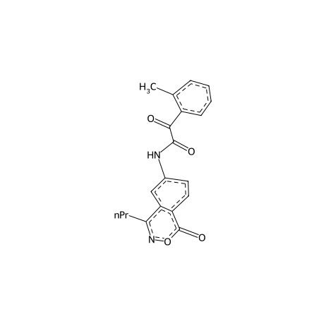 CCCc1noc(=O)c2ccc(NC(=O)C(=O)c3ccccc3C)cc12